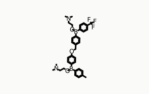 Cc1ccc(B(OCCN(C)C)c2ccc(OCc3ccc(B(OCCN(C)C)c4ccc(C(F)(F)F)cc4)cc3)cc2)cc1